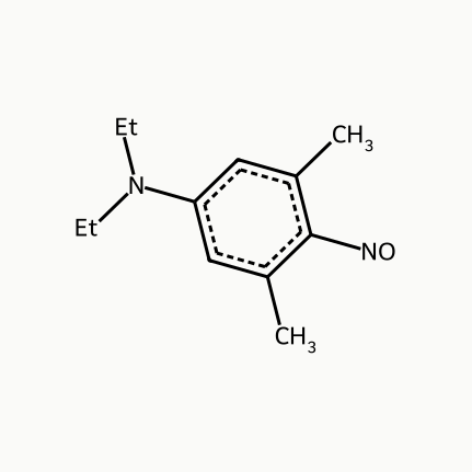 CCN(CC)c1cc(C)c(N=O)c(C)c1